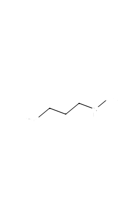 CCCCCCC[CH]NCCCC